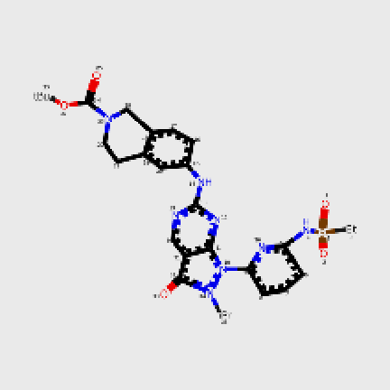 CCS(=O)(=O)Nc1cccc(-n2c3nc(Nc4ccc5c(c4)CCN(C(=O)OC(C)(C)C)C5)ncc3c(=O)n2C(C)C)n1